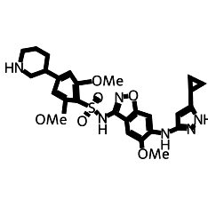 COc1cc2c(NS(=O)(=O)c3c(OC)cc(C4CCCNC4)cc3OC)noc2cc1Nc1cc(C2CC2)[nH]n1